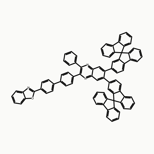 c1ccc(-c2nc3cc(-c4ccc5c(c4)C4(c6ccccc6-c6ccccc64)c4ccccc4-5)c(-c4ccc5c(c4)C4(c6ccccc6-c6ccccc64)c4ccccc4-5)cc3nc2-c2ccc(-c3ccc(-c4nc5ccccc5o4)cc3)cc2)cc1